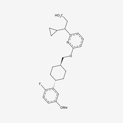 COc1ccc(F)c([C@H]2CC[C@H](COc3cccc(C(CC(=O)O)C4CC4)n3)CC2)c1